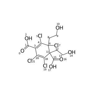 O=C(O)C1=C(Cl)C(Cl)(CCO)C(CCO)(C(=O)O)C(Cl)=C1Cl